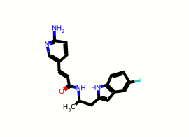 CC(Cc1cc2cc(F)ccc2[nH]1)NC(=O)C=Cc1ccc(N)nc1